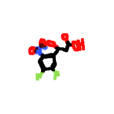 O=C(O)CC(=O)c1cc(F)c(F)cc1[N+](=O)[O-]